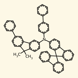 CC1(C)c2ccc(-c3ccccc3)cc2-c2cc(N(c3ccc(-c4ccccc4)cc3)c3ccc4c(c3)C3(c5ccccc5-c5ccccc53)c3ccccc3-4)ccc21